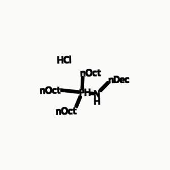 CCCCCCCCCCN[PH](CCCCCCCC)(CCCCCCCC)CCCCCCCC.Cl